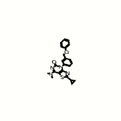 CN(C)c1nc(=O)n(-c2cccc(COc3ccccc3)c2)c2nc(C3CC3)sc12